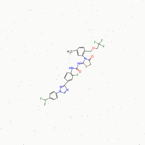 Cc1ccc(COCC(F)(F)F)c(N2C(=O)CS/C2=N\C(=O)Nc2ccc(-c3ncn(-c4ccc(C(F)F)cc4)n3)cc2F)c1